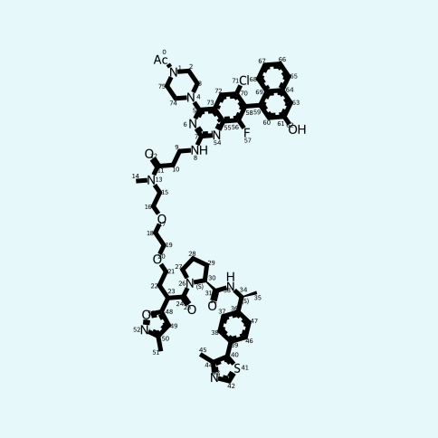 CC(=O)N1CCN(c2nc(NCCC(=O)N(C)CCOCCOCCC(C(=O)N3CCC[C@H]3C(=O)N[C@@H](C)c3ccc(-c4scnc4C)cc3)c3cc(C)no3)nc3c(F)c(-c4cc(O)cc5ccccc45)c(Cl)cc23)CC1